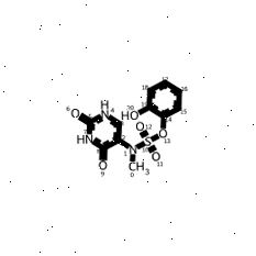 CN(c1c[nH]c(=O)[nH]c1=O)S(=O)(=O)Oc1ccccc1O